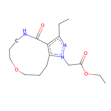 CCOC(=O)Cn1nc(CC)c2c1CCCOCCCNC2=O